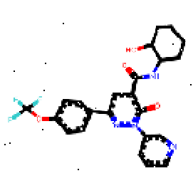 O=C(NC1CCCCC1O)c1cc(-c2ccc(OC(F)(F)F)cc2)nn(-c2cccnc2)c1=O